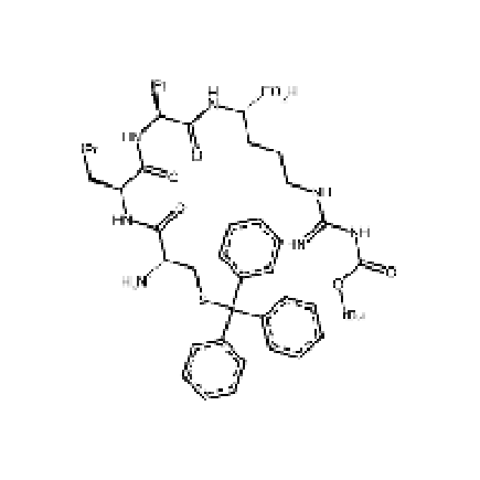 CC(C)C[C@H](NC(=O)[C@@H](N)CSC(c1ccccc1)(c1ccccc1)c1ccccc1)C(=O)N[C@H](C(=O)N[C@@H](CCCNC(=N)NC(=O)OC(C)(C)C)C(=O)O)C(C)C